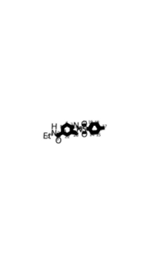 CCNC(=O)C1CCc2nn(S(=O)(=O)c3ccc(C)cc3)cc2C1